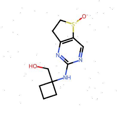 [O-][S+]1CCc2nc(NC3(CO)CCC3)ncc21